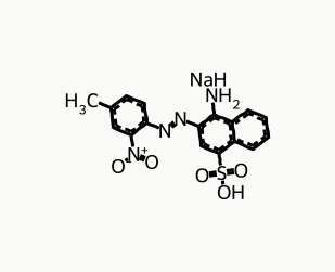 Cc1ccc(N=Nc2cc(S(=O)(=O)O)c3ccccc3c2N)c([N+](=O)[O-])c1.[NaH]